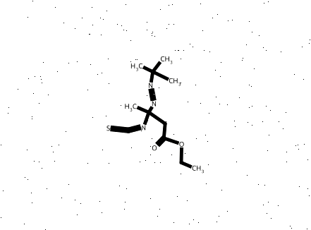 CCOC(=O)CC(C)(N=C=S)N=NC(C)(C)C